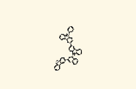 c1ccc(-n2c3ccccc3c3cc(-c4ccc5c(c4)c4ccccc4n5-c4cc(-c5ccc6sc7ccccc7c6c5)cc5ccccc45)ccc32)cc1